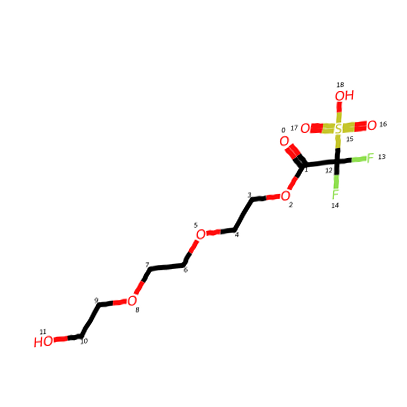 O=C(OCCOCCOCCO)C(F)(F)S(=O)(=O)O